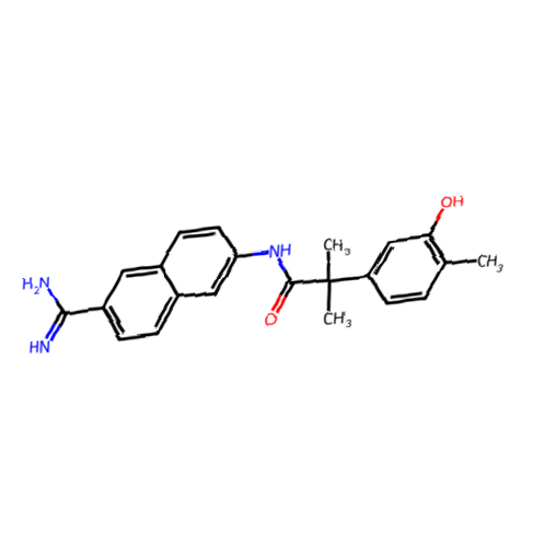 Cc1ccc(C(C)(C)C(=O)Nc2ccc3cc(C(=N)N)ccc3c2)cc1O